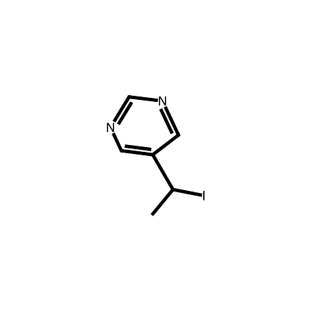 CC(I)c1cncnc1